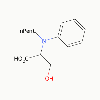 CCCCCN(c1ccccc1)C(CO)C(=O)O